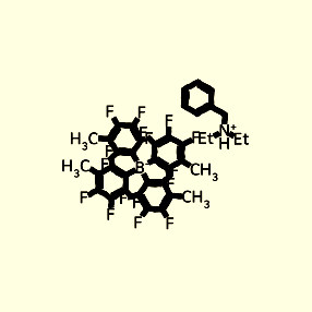 CC[NH+](CC)Cc1ccccc1.Cc1c(F)c(F)c(F)c([B-](c2c(F)c(C)c(F)c(F)c2F)(c2c(F)c(C)c(F)c(F)c2F)c2c(F)c(C)c(F)c(F)c2F)c1F